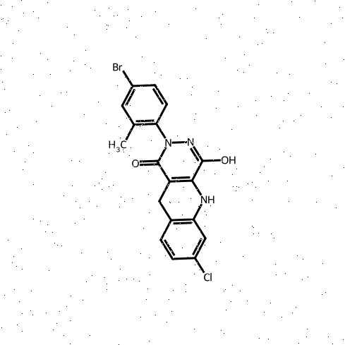 Cc1cc(Br)ccc1-n1nc(O)c2c(c1=O)Cc1ccc(Cl)cc1N2